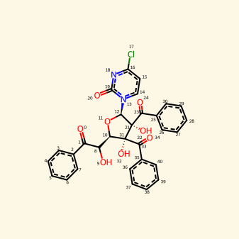 O=C(c1ccccc1)C(O)[C@H]1O[C@@H](n2ccc(Cl)nc2=O)[C@@](O)(C(=O)c2ccccc2)[C@@]1(O)C(=O)c1ccccc1